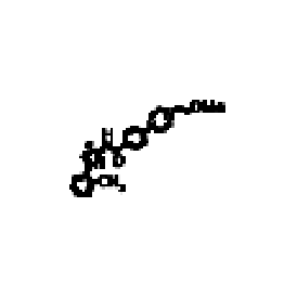 COCCN1CCN(c2ccc(C(=O)Nc3nc(-c4ccccc4C)cs3)cc2)CC1